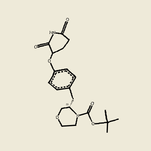 CC(C)(C)OC(=O)N1CCOC[C@@H]1Cc1ccc(OC2CCC(=O)NC2=O)cc1